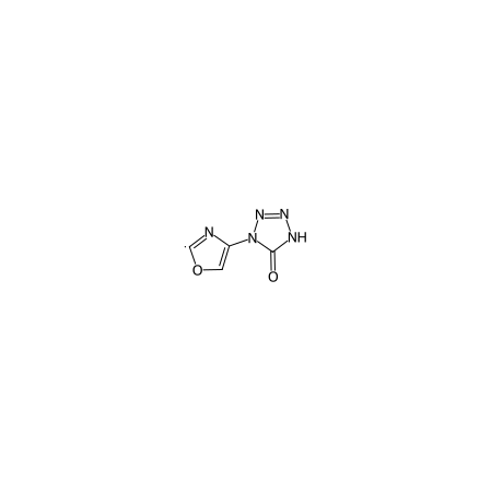 O=c1[nH]nnn1-c1co[c]n1